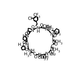 CC[C@H](C)[C@@H]1NC(=O)[C@H](C)N(C)C(=O)C[C@@H](C)NC(=O)[C@H](C2CCCC2)N(C)C(=O)C2(CCCC2)NC(=O)[C@@H]2CCCN2C(=O)[C@H](CCc2ccc(C(F)(F)F)c(Cl)c2)NC(=O)[C@@H](C)N(C)C(=O)[C@H](CC2CCCCC2)N(C)C(=O)CN(C)C(=O)CN(C)C1=O